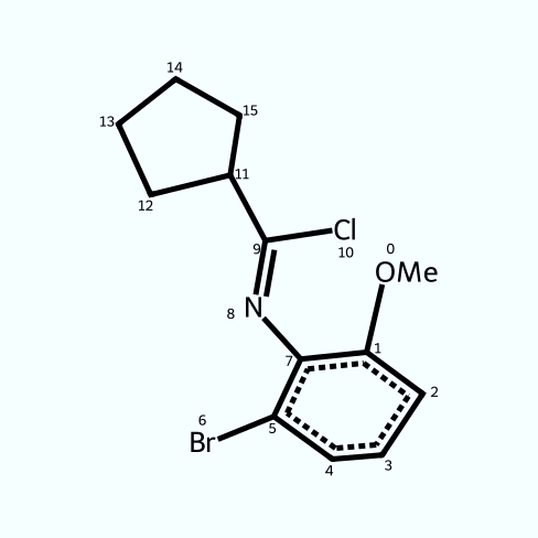 COc1cccc(Br)c1/N=C(\Cl)C1CCCC1